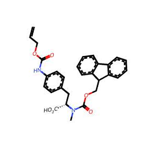 C=CCOC(=O)Nc1ccc(C[C@@H](C(=O)O)N(C)C(=O)OCC2c3ccccc3-c3ccccc32)cc1